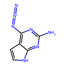 [N-]=[N+]=Nc1nc(N)nc2[nH]ccc12